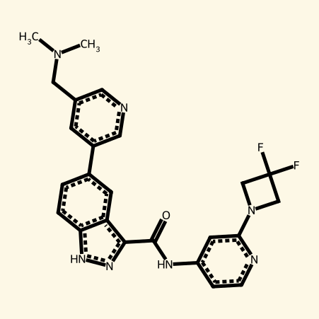 CN(C)Cc1cncc(-c2ccc3[nH]nc(C(=O)Nc4ccnc(N5CC(F)(F)C5)c4)c3c2)c1